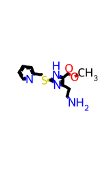 COC(=O)c1[nH]c(SCc2ccccn2)nc1CCN